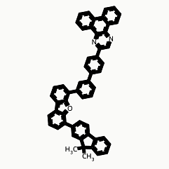 CC1(C)c2ccccc2-c2ccc(-c3cccc4c3oc3c(-c5cccc(-c6ccc(-c7cnc8c9ccccc9c9ccccc9c8n7)cc6)c5)cccc34)cc21